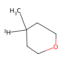 [2H]C1(C)CCOCC1